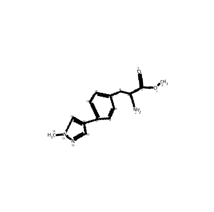 COC(=O)C(N)Cc1ccc(-c2cnn(C)c2)cc1